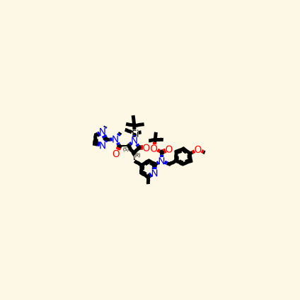 COc1ccc(CN(C(=O)OC(C)(C)C)c2cc(C[C@H]3C(=O)N([Si](C)(C)C(C)(C)C)[C@@H]3C(=O)N(C)c3nccn3C)cc(C)n2)cc1